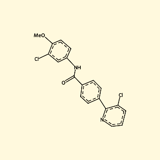 COc1ccc(NC(=O)c2ccc(-c3ncccc3Cl)cc2)cc1Cl